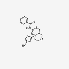 O=C(NC1=N[C@@]2(c3cc(Br)cs3)CCOCC2CS1)c1ccccc1